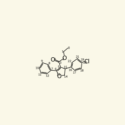 CCOC(=O)C1=C(c2ccccc2)OCC1c1ccc(Cl)cc1